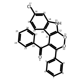 O=C(C1=C(c2ccccc2)OOc2[nH]c3cc(Cl)ccc3c21)c1ccccc1